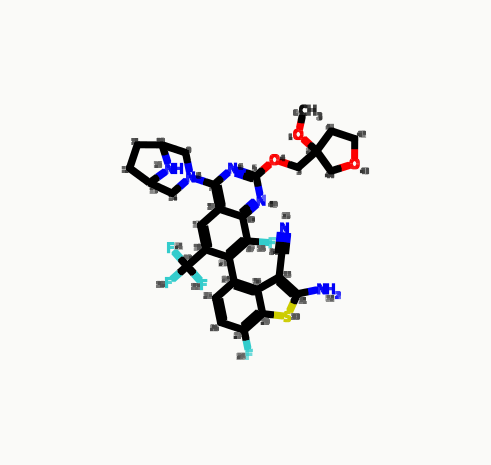 COC1(COc2nc(N3CC4CCC(C3)N4)c3cc(C(F)(F)F)c(-c4ccc(F)c5sc(N)c(C#N)c45)c(F)c3n2)CCOC1